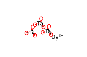 [Dy+3].[O]=[Ta](=[O])[O-].[O]=[Ta](=[O])[O-].[O]=[Ta](=[O])[O-]